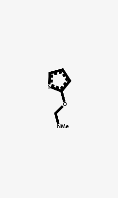 CNCOc1cccs1